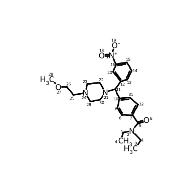 CCN(CC)C(=O)c1ccc(C(c2cccc([N+](=O)[O-])c2)N2CCN(CCOC)CC2)cc1